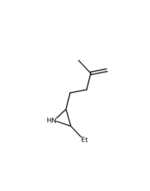 C=C(C)CCC1NC1CC